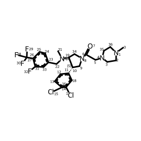 CN1CCN(CC(=O)N2C[C@H](c3ccc(Cl)c(Cl)c3)[C@@H](N(C)Cc3ccc(C(F)(F)F)c(F)c3)C2)CC1